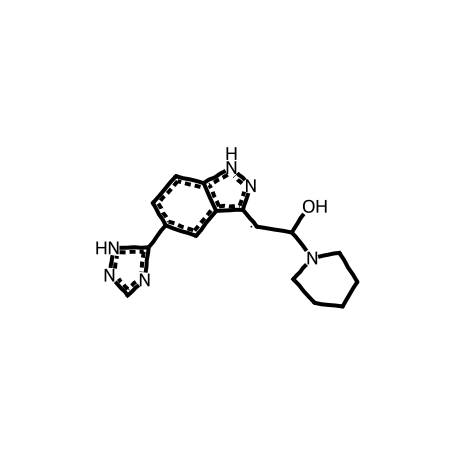 OC([CH]c1n[nH]c2ccc(-c3ncn[nH]3)cc12)N1CCCCC1